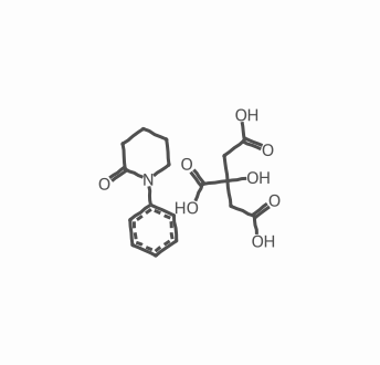 O=C(O)CC(O)(CC(=O)O)C(=O)O.O=C1CCCCN1c1ccccc1